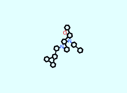 c1ccc(-c2ccc(-n3c4ccc5c6ccccc6oc5c4c4ccc5c(c6ccccc6n5-c5cccc(-c6ccc7c8ccccc8c8ccccc8c7c6)c5)c43)cc2)cc1